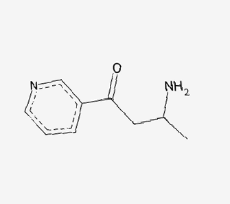 CC(N)CC(=O)c1cccnc1